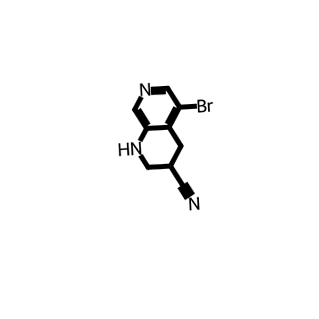 N#CC1CNc2cncc(Br)c2C1